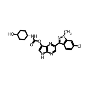 Cn1nc(-c2cnc3[nH]cc(OC(=O)N[C@H]4CC[C@H](O)CC4)c3n2)c2ccc(Cl)cc21